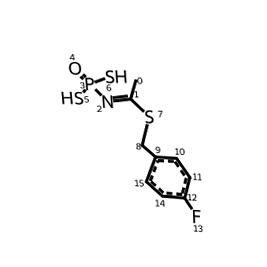 CC(=NP(=O)(S)S)SCc1ccc(F)cc1